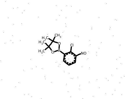 CC1(C)OB(c2cccc(N=O)c2Cl)OC1(C)C